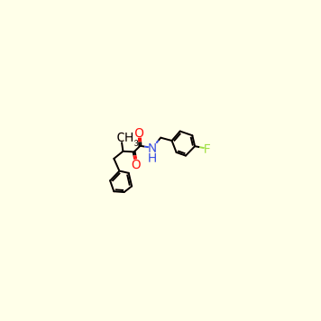 CC(Cc1ccccc1)C(=O)C(=O)NCc1ccc(F)cc1